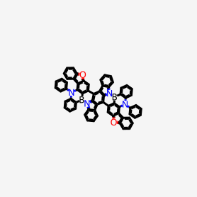 c1ccc(N2c3ccccc3B3c4c(cc5oc6ccccc6c5c42)-c2c4c5ccccc5n5c4c(c4c6ccccc6n3c24)-c2cc3oc4ccccc4c3c3c2B5c2ccccc2N3c2ccccc2)cc1